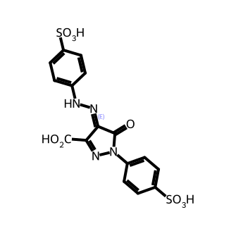 O=C(O)C1=NN(c2ccc(S(=O)(=O)O)cc2)C(=O)/C1=N/Nc1ccc(S(=O)(=O)O)cc1